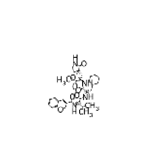 COC(=O)[C@H](C[C@@H]1CCNC1=O)NC(=O)[C@H](CC1CCCCC1)NC(=O)[C@@H](NC(=O)C1=Cc2ccccc2OC1)C(C)C